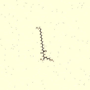 CCCCCCCCCCCCCCCC(=O)NCCN(C)CCCC